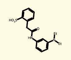 CCN(CC)c1cccc(NC(=O)Cc2ccccc2S(=O)(=O)O)c1